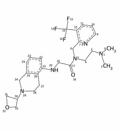 CN(C)CCN(Cc1ncccc1C(F)(F)F)C(=O)CNc1cccc2c1CCN(C1COC1)C2